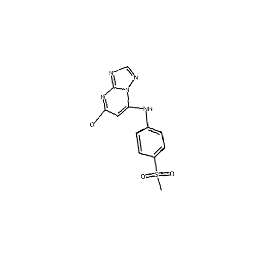 CS(=O)(=O)c1ccc(Nc2cc(Cl)nc3ncnn23)cc1